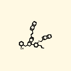 C/C=C/c1ccc(C23CC(Cc4ccccc4O)C(C2)C2C4CC(C=C4/C=C/C4CC5CC4C4C6C=CC(C6)C54)C23)cc1OCC1CC2CC1C1C3C=CC(C3)C21